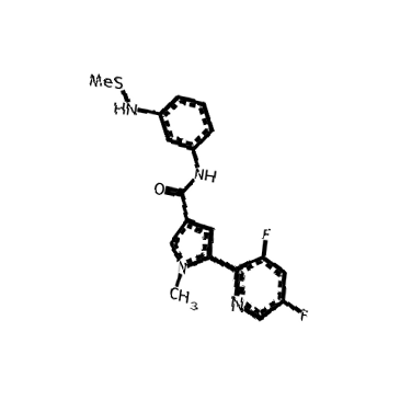 CSNc1cccc(NC(=O)c2cc(-c3ncc(F)cc3F)n(C)c2)c1